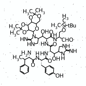 CC(c1ccccc1)[C@H](N)C(=O)N[C@@H](Cc1ccc(O)cc1)C(=O)N[C@H](C(=O)N[C@H](C(=O)N[C@H]([C]=O)CO[Si](C)(C)C(C)(C)C)C(O)C1CNC(=N)N1C1OC2COC(C)(C)OC2C2OC(C)(C)OC21)C(O)C1CNC(=N)N1